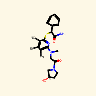 CCc1c(C#N)c(SC(C(N)=O)c2ccccc2)nc(N(C)CC(=O)N2CC[C@@H](O)C2)c1C#N